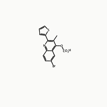 Cc1c(-c2cccs2)nc2ccc(Br)cc2c1OC(=O)O